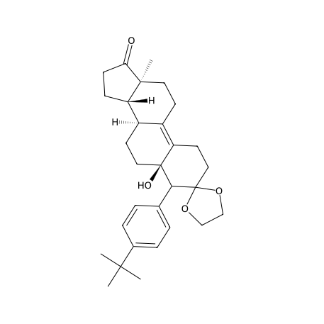 CC(C)(C)c1ccc(C2C3(CCC4=C5CC[C@]6(C)C(=O)CC[C@H]6[C@@H]5CC[C@]42O)OCCO3)cc1